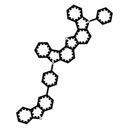 c1ccc(-n2c3ccccc3c3c4oc5c(ccc6c5c5ccccc5n6-c5ccc(-c6ccc7oc8ccccc8c7c6)cc5)c4ccc32)cc1